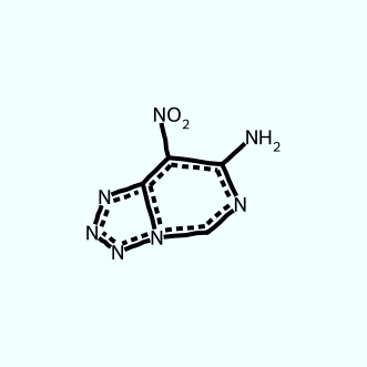 Nc1ncn2nnnc2c1[N+](=O)[O-]